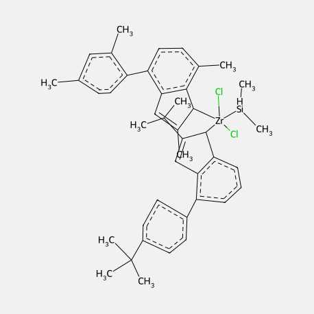 CC1=Cc2c(-c3ccc(C)cc3C)ccc(C)c2[CH]1[Zr]([Cl])([Cl])([CH]1C(C(C)C)=Cc2c(-c3ccc(C(C)(C)C)cc3)cccc21)[SiH](C)C